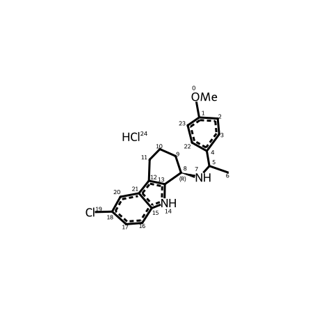 COc1ccc(C(C)N[C@@H]2CCCc3c2[nH]c2ccc(Cl)cc32)cc1.Cl